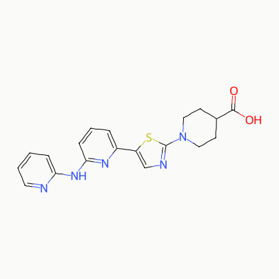 O=C(O)C1CCN(c2ncc(-c3cccc(Nc4ccccn4)n3)s2)CC1